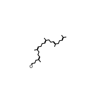 CC(C)=CCCC(C)=CCCC(C)=CCCC=C(C)CCC=C(C)CCC=O